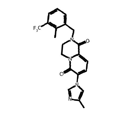 Cc1cn(-c2ccc3n(c2=O)CCN(Cc2cccc(C(F)(F)F)c2C)C3=O)cn1